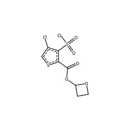 O=C(OC1CCO1)c1scc(Cl)c1S(=O)(=O)Cl